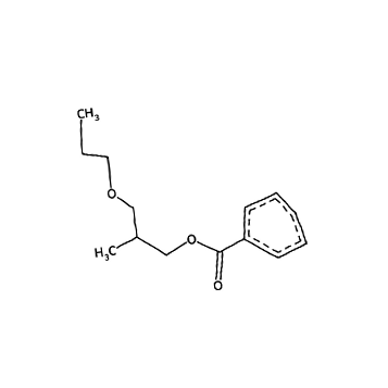 CCCOCC(C)COC(=O)c1ccccc1